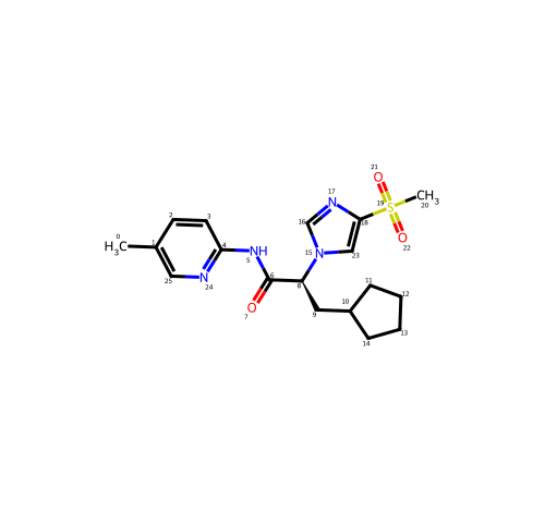 Cc1ccc(NC(=O)[C@H](CC2CCCC2)n2cnc(S(C)(=O)=O)c2)nc1